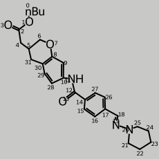 CCCCOC(=O)CC1COc2cc(NC(=O)c3ccc(C=NN4CCCCC4)cc3)ccc2C1